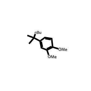 CCCCC(C)(C)c1ccc(OC)c(OC)c1